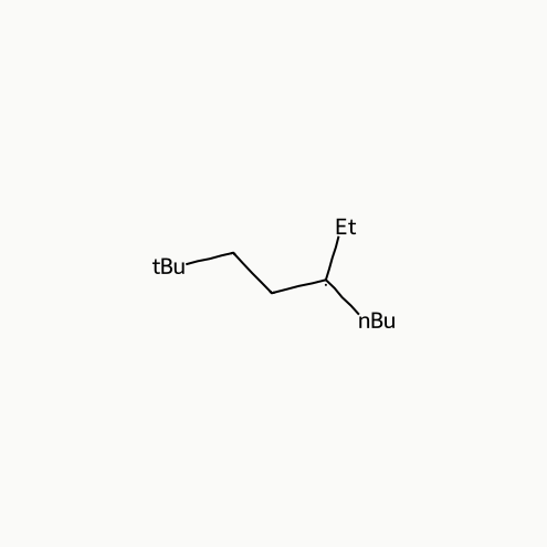 CCCC[C](CC)CCC(C)(C)C